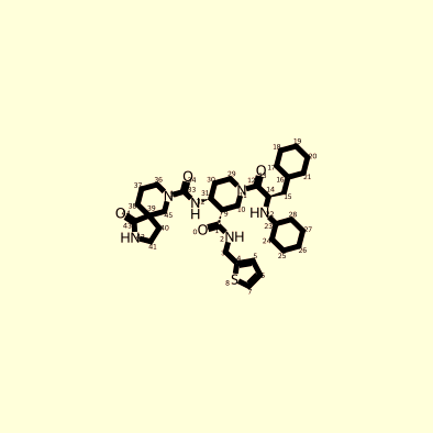 O=C(NCc1cccs1)[C@H]1CN(C(=O)[C@@H](CC2CCCCC2)NC2CCCCC2)CC[C@H]1NC(=O)N1CCCC2(CCNC2=O)C1